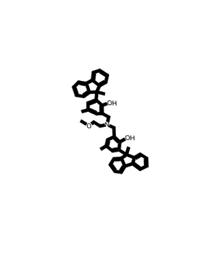 COCCN(Cc1cc(C)cc(C2(C)c3ccccc3-c3ccccc32)c1O)Cc1cc(C)cc(C2(C)c3ccccc3-c3ccccc32)c1O